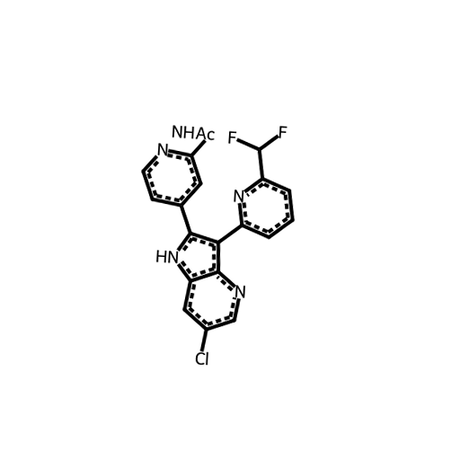 CC(=O)Nc1cc(-c2[nH]c3cc(Cl)cnc3c2-c2cccc(C(F)F)n2)ccn1